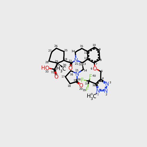 Cn1nnc(COc2cccc3c2[C@@H](CN2CCCC2=O)N(C(=O)C2CCCC[C@@]2(C)C(=O)O)CC3)c1C(F)(F)F